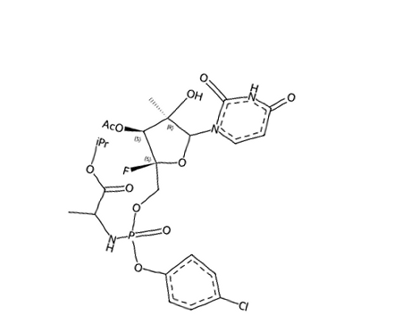 CC(=O)O[C@@H]1[C@@](F)(COP(=O)(NC(C)C(=O)OC(C)C)Oc2ccc(Cl)cc2)OC(n2ccc(=O)[nH]c2=O)[C@]1(C)O